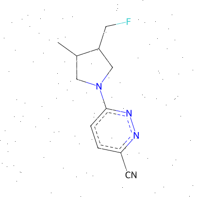 CC1CN(c2ccc(C#N)nn2)CC1CF